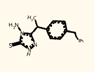 CC(C)Cc1ccc(C(C)c2n[nH]c(=S)n2N)cc1